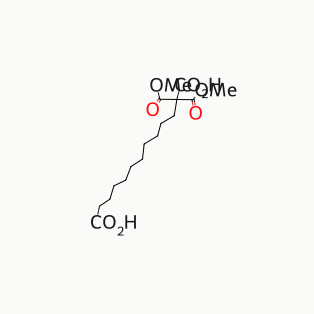 COC(=O)C(CCCCCCCCCCC(=O)O)(C(=O)O)C(=O)OC